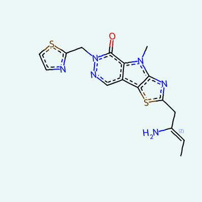 C/C=C(\N)Cc1nc2c(s1)c1cnn(Cc3nccs3)c(=O)c1n2C